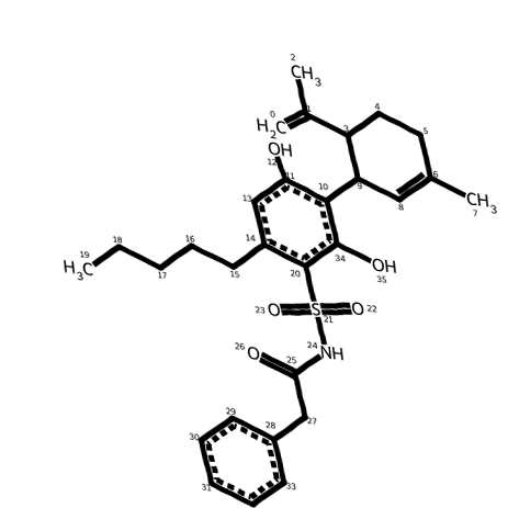 C=C(C)C1CCC(C)=CC1c1c(O)cc(CCCCC)c(S(=O)(=O)NC(=O)Cc2ccccc2)c1O